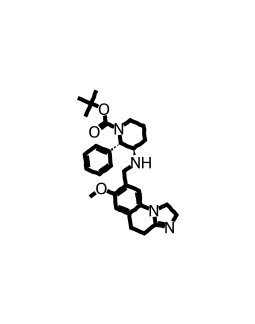 COc1cc2c(cc1CN[C@H]1CCCN(C(=O)OC(C)(C)C)[C@H]1c1ccccc1)N1CCN=C1CC2